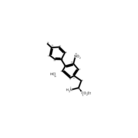 CCOC(=O)[C@@H](N)Cc1ccc(-c2ccc(C)cc2)c([N+](=O)[O-])c1.Cl